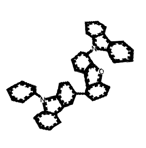 c1ccc(-n2c3ccccc3c3cc(-c4cccc5oc6c(-n7c8ccccc8c8ccccc87)cccc6c45)ccc32)cc1